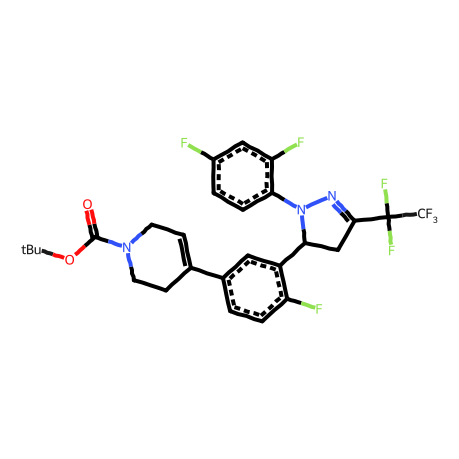 CC(C)(C)OC(=O)N1CC=C(c2ccc(F)c(C3CC(C(F)(F)C(F)(F)F)=NN3c3ccc(F)cc3F)c2)CC1